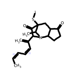 C=C(/C=C\C=C/C)C1C(=O)C2(SI)CC3C(=O)CCC3N1C2C